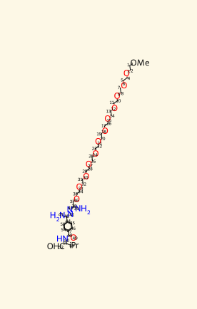 COCCOCCOCCOCCOCCOCCOCCOCCOCCOCCOCCOCCOC/C(N)=N/N=C(\N)c1ccc(C(=O)NC(C=O)C(C)C)cc1